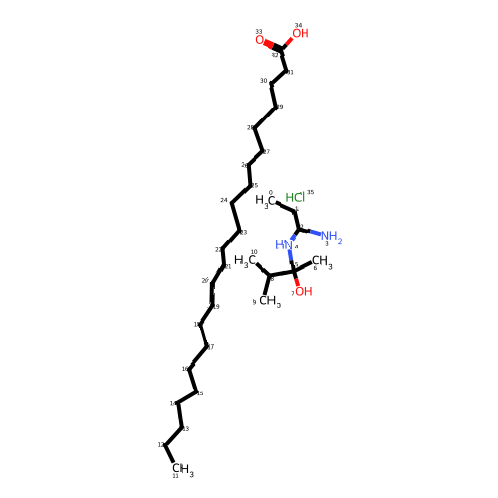 CCC(N)NC(C)(O)C(C)C.CCCCCCCCCCCCCCCCCCCCCC(=O)O.Cl